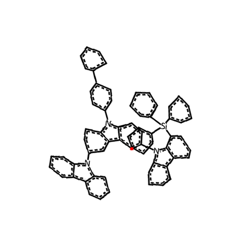 c1ccc(-c2ccc(-n3c4ccc(-n5c6ccccc6c6ccccc65)cc4c4cc(-n5c6ccccc6c6cccc([Si](c7ccccc7)(c7ccccc7)c7ccccc7)c65)ccc43)cc2)cc1